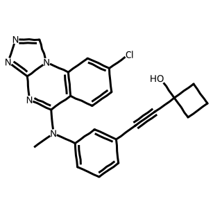 CN(c1cccc(C#CC2(O)CCC2)c1)c1nc2nncn2c2cc(Cl)ccc12